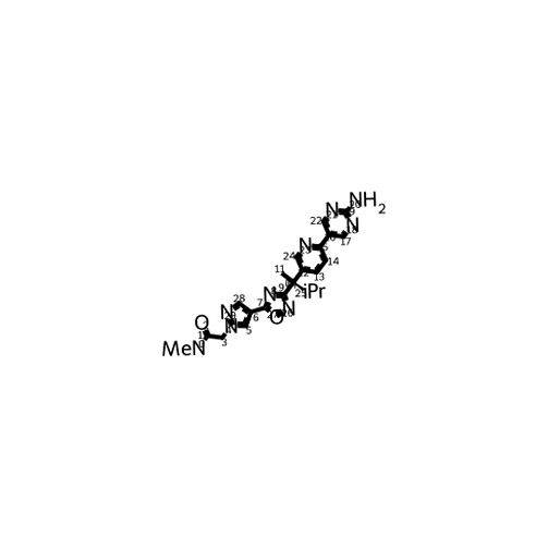 CNC(=O)Cn1cc(-c2nc([C@](C)(c3ccc(-c4cnc(N)nc4)nc3)C(C)C)no2)cn1